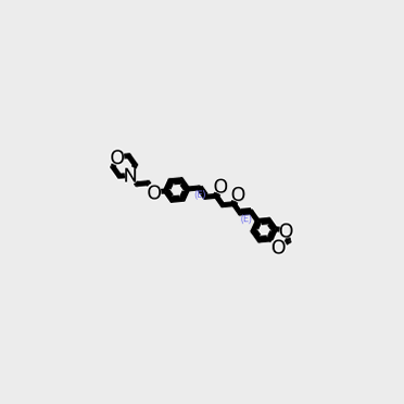 O=C(/C=C/c1ccc(OCCN2CCOCC2)cc1)CC(=O)/C=C/c1ccc2c(c1)OCO2